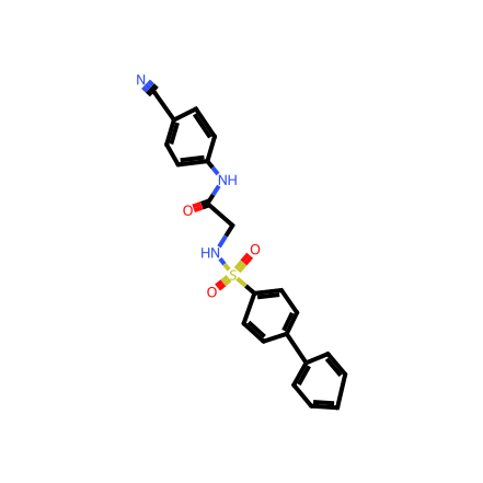 N#Cc1ccc(NC(=O)CNS(=O)(=O)c2ccc(-c3ccccc3)cc2)cc1